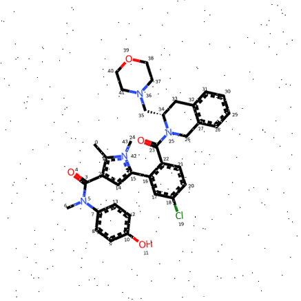 Cc1c(C(=O)N(C)c2ccc(O)cc2)cc(-c2cc(Cl)ccc2C(=O)N2Cc3ccccc3C[C@H]2CN2CCOCC2)n1C